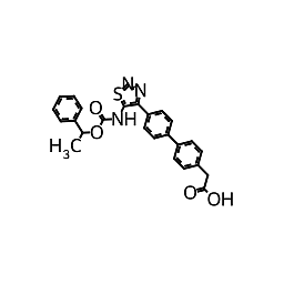 CC(OC(=O)Nc1snnc1-c1ccc(-c2ccc(CC(=O)O)cc2)cc1)c1ccccc1